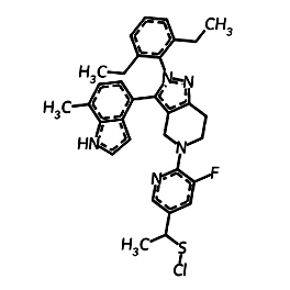 CCc1cccc(CC)c1-n1nc2c(c1-c1ccc(C)c3[nH]ccc13)CN(c1ncc(C(C)SCl)cc1F)CC2